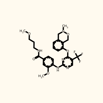 COCCCNC(=O)c1ccc(Nc2ncc(C(F)(F)F)c(Oc3cccc4c3CON(C)C4)n2)c(OC)c1